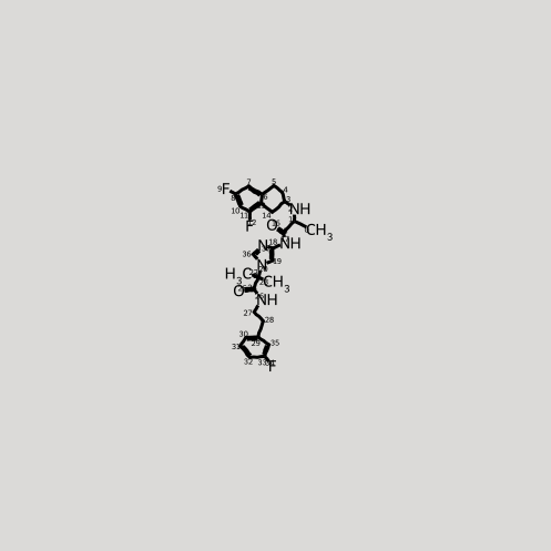 CC(NC1CCc2cc(F)cc(F)c2C1)C(=O)Nc1cn(C(C)(C)C(=O)NCCc2cccc(F)c2)cn1